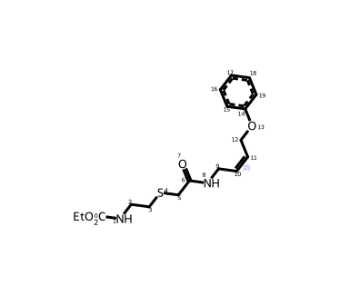 CCOC(=O)NCCSCC(=O)NC/C=C\COc1ccccc1